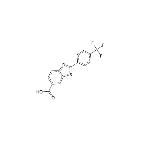 O=C(O)c1ccc2nc(-c3ccc(C(F)(F)F)cc3)sc2c1